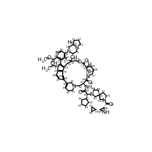 CCn1c(-c2cc(N3CCN4CCC[C@@H]4C3)cnc2[C@H](C)OC)c2c3cc(ccc31)C1=CCCN(C1)C[C@H](NC(=O)[C@H](C1CCCC1)N1CC[C@]3(CCN(C(=O)[C@@H]4N[C@@H]4C4CC4)C3)C1)C(=O)N1CCC[C@H](N1)C(=O)OCC(C)(C)C2